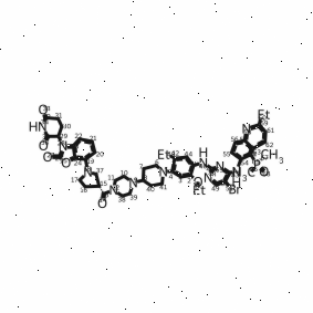 CCOc1cc(N2CCC(N3CCN(C(=O)[C@@H]4CCN(c5cccc6c5oc(=O)n6C5CCC(=O)NC5=O)C4)CC3)CC2)c(CC)cc1Nc1ncc(Br)c(Nc2ccc3nc(CC)ccc3c2P(C)(C)=O)n1